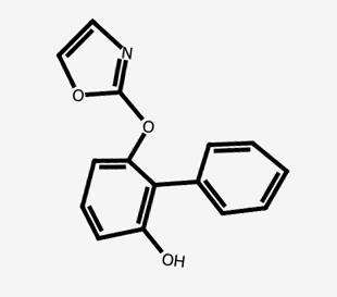 Oc1cccc(Oc2ncco2)c1-c1ccccc1